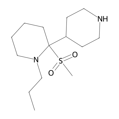 CCCN1CCCCC1(C1CCNCC1)S(C)(=O)=O